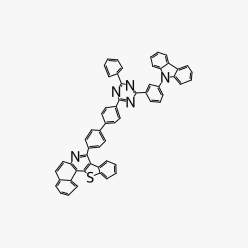 c1ccc(-c2nc(-c3ccc(-c4ccc(-c5nc6ccc7ccccc7c6c6sc7ccccc7c56)cc4)cc3)nc(-c3cccc(-n4c5ccccc5c5ccccc54)c3)n2)cc1